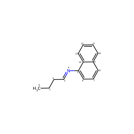 CCCC=Nc1cccc2ccccc12